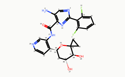 Nc1cnc(-c2c(F)cccc2F)nc1C(=O)Nc1cnccc1[C@H]1C[C@@H](O)[C@H](O)C2(CC2)O1